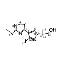 CSc1nccc(-c2cn(C(C)(C)CO)nc2I)n1